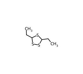 CCC1SSC(CC)S1